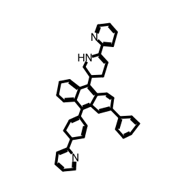 C1=CC(c2ccccn2)CC=C1c1c2c(c(C3CC=C(c4ccccn4)NC3)c3ccc(-c4ccccc4)cc13)=CCCC=2